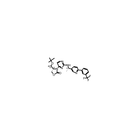 C[C@H](Nc1nccc(N2C(=O)OC[C@@H]2[C@@H](C)OC(C)(C)C)n1)c1ccc(-c2cccc(C(F)(F)F)c2)nc1